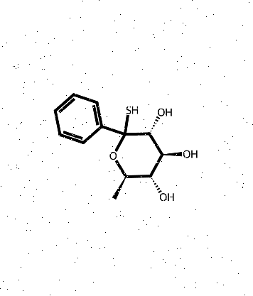 C[C@H]1OC(S)(c2ccccc2)[C@H](O)[C@@H](O)[C@@H]1O